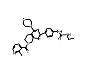 CCNC(=O)Nc1ccc(-c2nc3c(c(N4CCOCC4)n2)CCN(C(=O)c2cccnc2C)C3)cc1